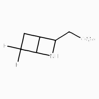 COCC1NC2C1CC2(F)F